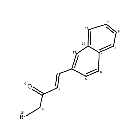 O=C(/C=C/c1ccc2ccccc2c1)CBr